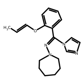 CC=COc1ccccc1C(=NN1CCCCCC1)n1ccnc1